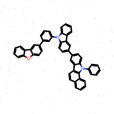 c1ccc(-n2c3ccc(-c4ccc5c(c4)c4ccccc4n5-c4cccc(-c5ccc6oc7ccccc7c6c5)c4)cc3c3ccc4ccccc4c32)cc1